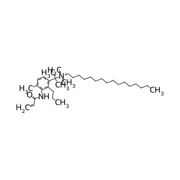 C=CC(=O)Nc1c(C)ccc(C(C)(C)[N+](C)(C)CCCCCCCCCCCCCCCC)c1CCC